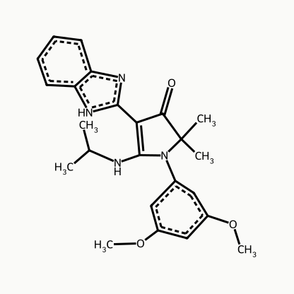 COc1cc(OC)cc(N2C(NC(C)C)=C(c3nc4ccccc4[nH]3)C(=O)C2(C)C)c1